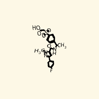 CC(NC(=O)c1cc(-c2ccc(F)cc2)nn1C)c1ccc(S(=O)(=O)CC(=O)O)cc1